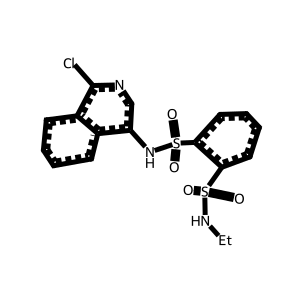 CCNS(=O)(=O)c1ccccc1S(=O)(=O)Nc1cnc(Cl)c2ccccc12